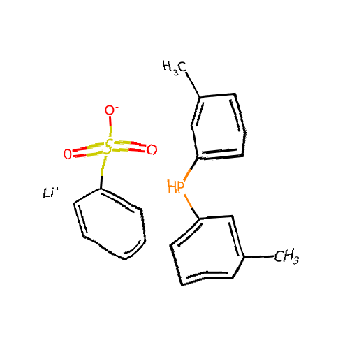 Cc1cccc(Pc2cccc(C)c2)c1.O=S(=O)([O-])c1ccccc1.[Li+]